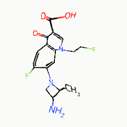 CC1C(N)CN1c1cc2c(cc1F)c(=O)c(C(=O)O)cn2CCF